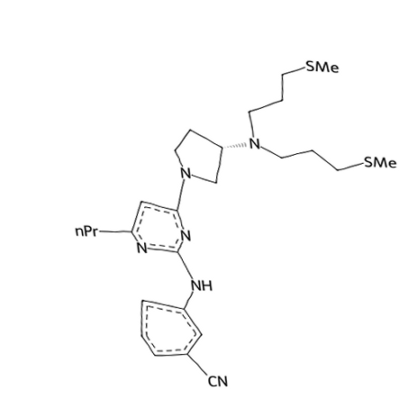 CCCc1cc(N2CC[C@H](N(CCCSC)CCCSC)C2)nc(Nc2cccc(C#N)c2)n1